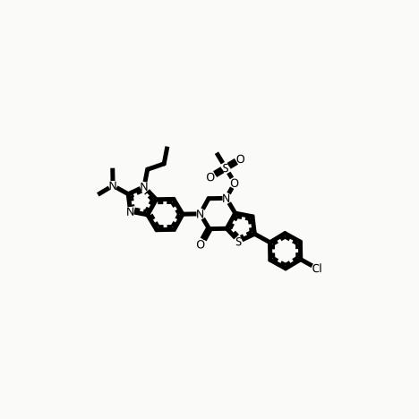 CCCn1c(N(C)C)nc2ccc(N3CN(OS(C)(=O)=O)c4cc(-c5ccc(Cl)cc5)sc4C3=O)cc21